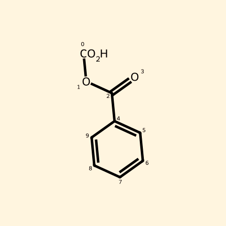 O=C(O)OC(=O)c1ccccc1